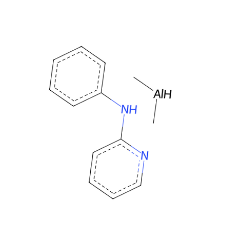 [CH3][AlH][CH3].c1ccc(Nc2ccccn2)cc1